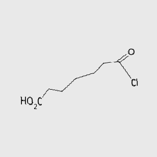 O=C(O)CCCCCC(=O)Cl